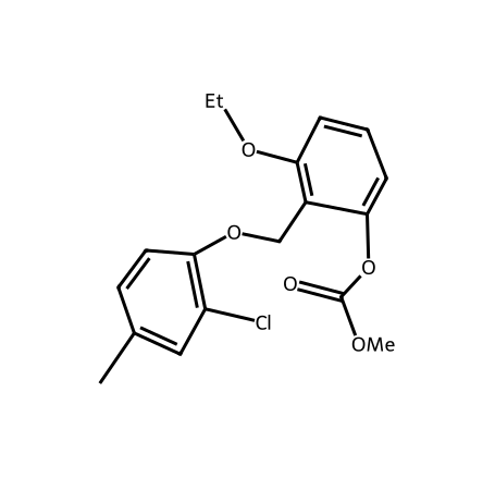 CCOc1cccc(OC(=O)OC)c1COc1ccc(C)cc1Cl